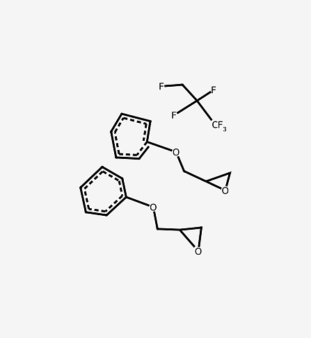 FCC(F)(F)C(F)(F)F.c1ccc(OCC2CO2)cc1.c1ccc(OCC2CO2)cc1